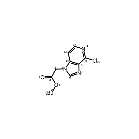 CC(C)(C)OC(=O)Cn1cnc2c(Cl)nccc21